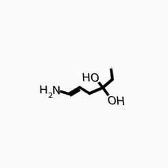 CCC(O)(O)CC=CN